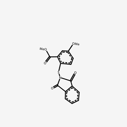 COC(=O)c1cc(OC)ccc1SN1C(=O)c2ccccc2C1=O